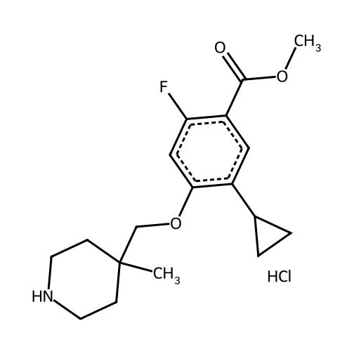 COC(=O)c1cc(C2CC2)c(OCC2(C)CCNCC2)cc1F.Cl